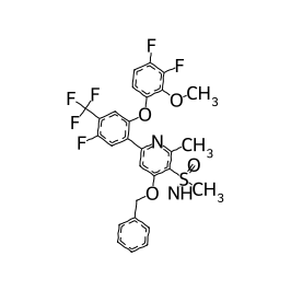 COc1c(Oc2cc(C(F)(F)F)c(F)cc2-c2cc(OCc3ccccc3)c(S(C)(=N)=O)c(C)n2)ccc(F)c1F